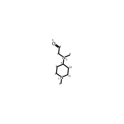 CN1CCC(N(C)CC=O)CC1